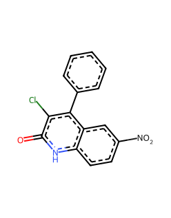 O=c1[nH]c2ccc([N+](=O)[O-])cc2c(-c2ccccc2)c1Cl